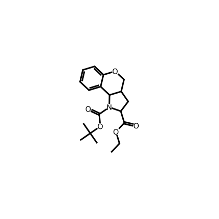 CCOC(=O)C1CC2COc3ccccc3C2N1C(=O)OC(C)(C)C